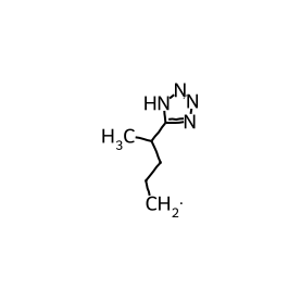 [CH2]CCC(C)c1nnn[nH]1